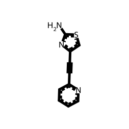 Nc1nc(C#Cc2ccccn2)cs1